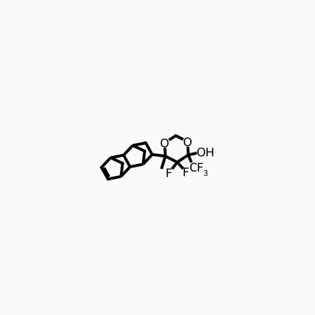 CC1(C2CC3CC2C2C4C=CC(C4)C32)OCOC(O)(C(F)(F)F)C1(F)F